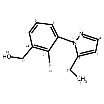 CCc1ccnn1-c1cccc(CO)c1F